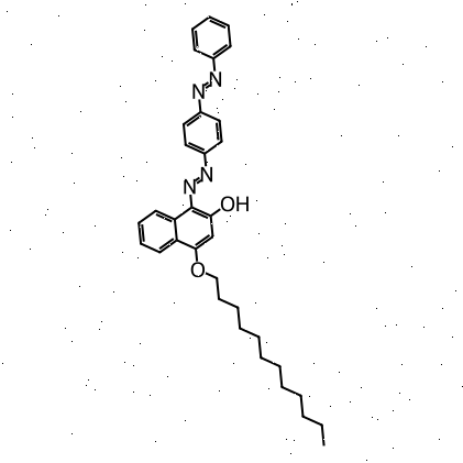 CCCCCCCCCCCCOc1cc(O)c(N=Nc2ccc(N=Nc3ccccc3)cc2)c2ccccc12